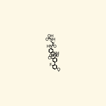 COc1ccc(F)c(-c2ccc(S(=O)(=O)Nc3cc(NC(=O)[C@@H](C)CNC(=O)O)ccc3OC)c(Cl)c2)c1